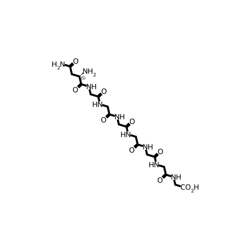 NC(=O)C[C@H](N)C(=O)NCC(=O)NCC(=O)NCC(=O)NCC(=O)NCC(=O)NCC(=O)NCC(=O)O